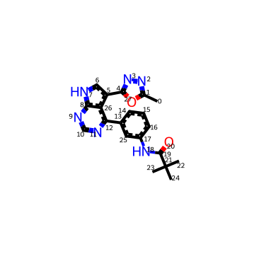 Cc1nnc(-c2c[nH]c3ncnc(-c4cccc(NC(=O)C(C)(C)C)c4)c23)o1